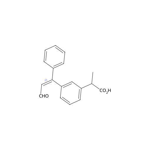 CC(C(=O)O)c1cccc(/C(=C\C=O)c2ccccc2)c1